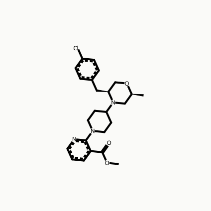 COC(=O)c1cccnc1N1CCC(N2C[C@H](C)OC[C@@H]2Cc2ccc(Cl)cc2)CC1